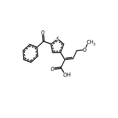 COC/C=C(/C(=O)O)c1csc(C(=O)c2ccccc2)c1